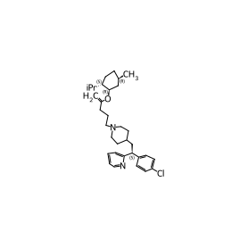 C=C(CCCN1CCC(C[C@@H](c2ccc(Cl)cc2)c2ccccn2)CC1)O[C@@H]1C[C@H](C)CC[C@H]1C(C)C